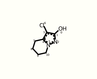 Oc1nn2c(c1Cl)CCCC2